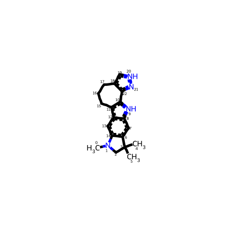 CN1CC(C)(C)c2cc3[nH]c4c(c3cc21)CCCc1c[nH]nc1-4